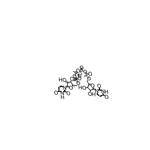 CP(=O)(OC[C@H]1O[C@@H](n2ccc(=O)[nH]c2=O)C(O)C1O)OP(C)(=O)OP(C)(=O)OP(C)(=O)OC[C@H]1O[C@@H](n2ccc(=O)[nH]c2=O)[C@@H](O)C1O